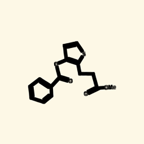 COC(=O)CCc1sccc1OC(=O)c1ccccc1